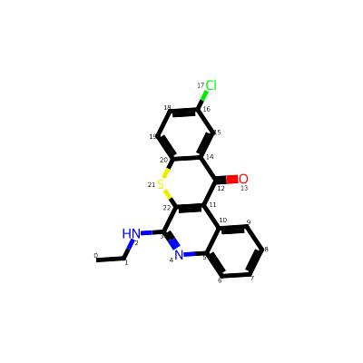 CCNc1nc2ccccc2c2c(=O)c3cc(Cl)ccc3sc12